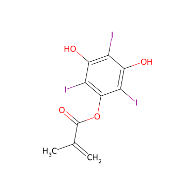 C=C(C)C(=O)Oc1c(I)c(O)c(I)c(O)c1I